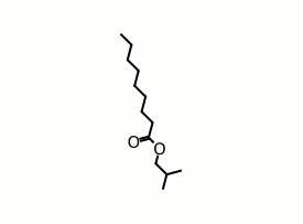 CCCCCCCCC(=O)OCC(C)C